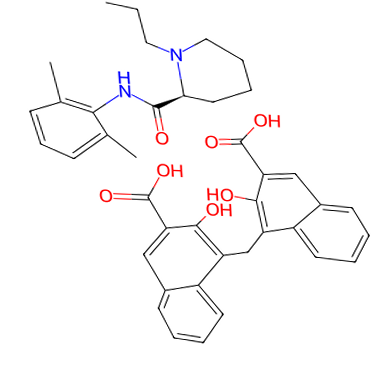 CCCN1CCCC[C@H]1C(=O)Nc1c(C)cccc1C.O=C(O)c1cc2ccccc2c(Cc2c(O)c(C(=O)O)cc3ccccc23)c1O